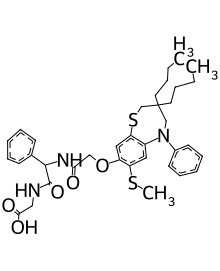 CCCCC1(CCCC)CSc2cc(OCC(=O)NC(C(=O)NCC(=O)O)c3ccccc3)c(SC)cc2N(c2ccccc2)C1